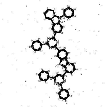 C1=CCC2C(=C1)c1cc(-c3nc(-c4ccccc4)nc(-c4ccc5c(c4)sc4c(-c6cc(-c7ccccc7)nc(-c7ccccc7)n6)cccc45)n3)ccc1N2c1ccccc1